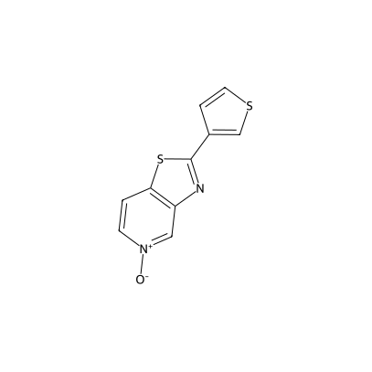 [O-][n+]1ccc2sc(-c3ccsc3)nc2c1